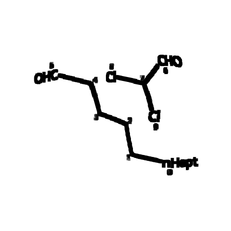 CCCCCCCCCCCC=O.O=CC(Cl)Cl